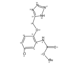 CC(C)(C)OC(=O)Nc1cc(Cl)ccc1OCc1nnn[nH]1